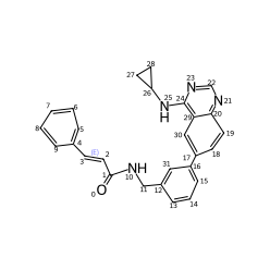 O=C(/C=C/c1ccccc1)NCc1cccc(-c2ccc3ncnc(NC4CC4)c3c2)c1